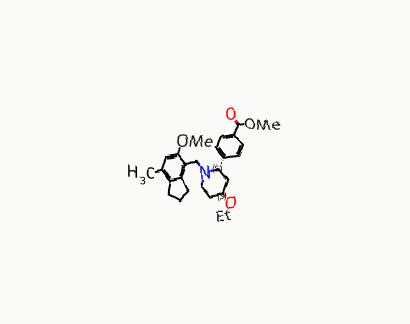 CCO[C@H]1CCN(Cc2c(OC)cc(C)c3c2CCC3)[C@H](c2ccc(C(=O)OC)cc2)C1